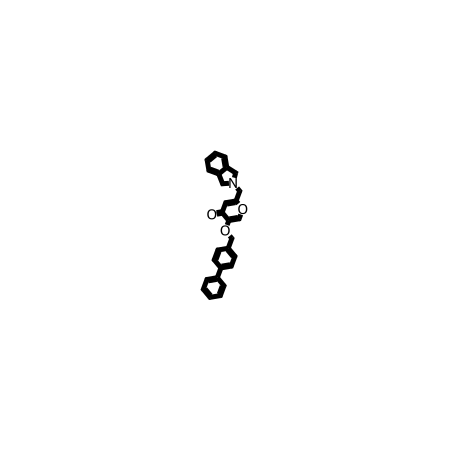 O=c1cc(CN2Cc3ccccc3C2)occ1OCc1ccc(-c2ccccc2)cc1